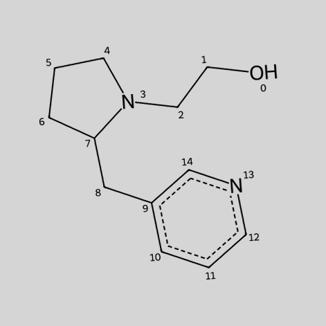 OCCN1CCCC1Cc1cccnc1